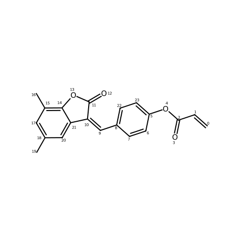 C=CC(=O)Oc1ccc(/C=C2\C(=O)Oc3c(C)cc(C)cc32)cc1